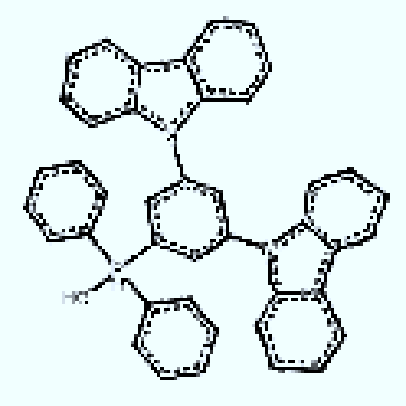 O[PH](c1ccccc1)(c1ccccc1)c1cc(-n2c3ccccc3c3ccccc32)cc(-n2c3ccccc3c3ccccc32)c1